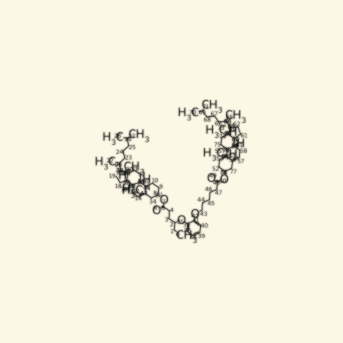 CCC(CCC(=O)O[C@H]1CC[C@@]2(C)C(=CC[C@H]3[C@@H]4CC[C@H]([C@H](C)CCCC(C)C)[C@@]4(C)CC[C@@H]32)C1)Oc1ccccc1OCCCCCC(=O)O[C@H]1CC[C@@]2(C)C(=CC[C@H]3[C@@H]4CC[C@H]([C@H](C)CCCC(C)C)[C@@]4(C)CC[C@@H]32)C1